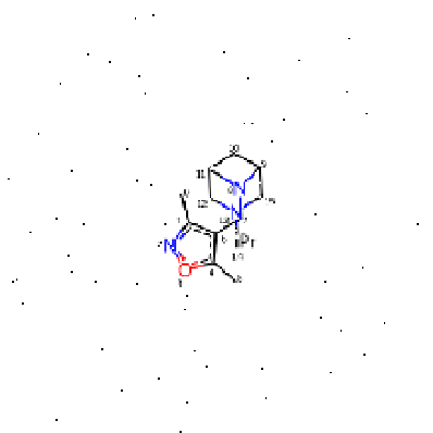 Cc1noc(C)c1CN1C2CC1CN(C(C)C)C2